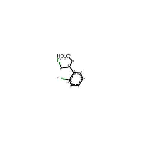 O=C(O)CC(CF)c1ccccc1F